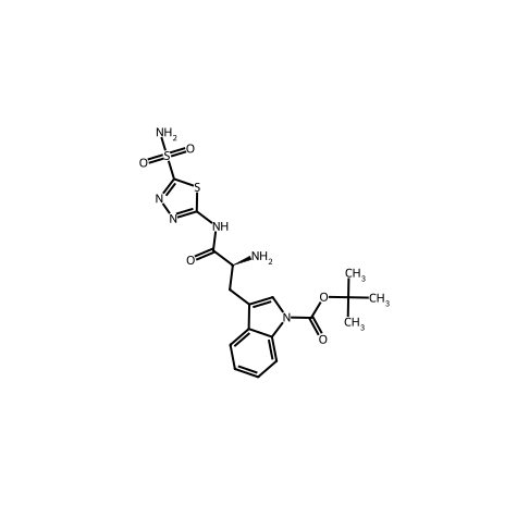 CC(C)(C)OC(=O)n1cc(C[C@H](N)C(=O)Nc2nnc(S(N)(=O)=O)s2)c2ccccc21